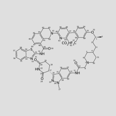 C[C@@H](CCC1CCN(CC(=O)Nc2ccc3c([C@H]4CCC(=O)NC4=O)nn(C)c3c2)CC1)Oc1ccc(-c2ccc(N3CCc4cccc(C(=O)Nc5nc6ccccc6s5)c4C3)nc2C(=O)O)c(C(F)(F)F)c1